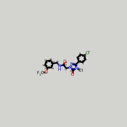 CCn1c(-c2ccc(Cl)cc2)nn(CC(=O)NCc2cccc(OC(F)(F)F)c2)c1=O